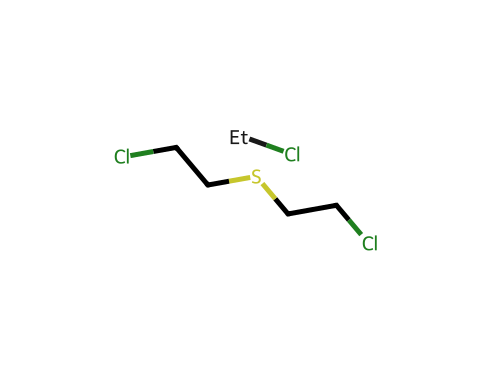 CCCl.ClCCSCCCl